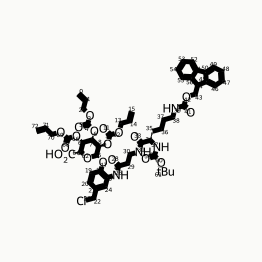 C=CCOC(=O)O[C@@H]1[C@@H](OC(=O)OCC=C)[C@H](Oc2ccc(CCl)cc2NC(=O)CCNC(=O)[C@H](CCCCNC(=O)OCC2c3ccccc3-c3ccccc32)NC(=O)OC(C)(C)C)O[C@H](C(=O)O)[C@H]1OC(=O)OCC=C